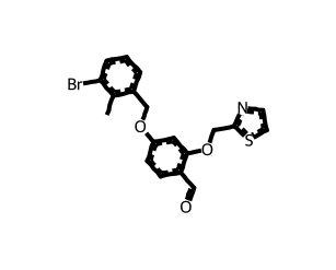 Cc1c(Br)cccc1COc1ccc(C=O)c(OCc2nccs2)c1